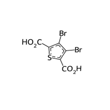 O=C(O)c1sc(C(=O)O)c(Br)c1Br